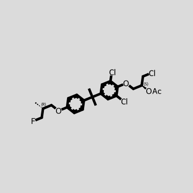 CC(=O)O[C@H](CCl)COc1c(Cl)cc(C(C)(C)c2ccc(OC[C@@H](C)CF)cc2)cc1Cl